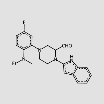 CCN(C)c1ccc(F)cc1N1CCN(c2cc3ccccc3[nH]2)C(C=O)C1